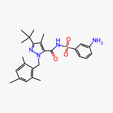 Cc1cc(C)c(Cn2nc(C(C)(C)C)c(C)c2C(=O)NS(=O)(=O)c2cccc(N)c2)c(C)c1